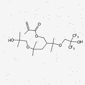 C=C(C)C(=O)OCC(CC(C)(C)OCC(C)(C)O)C(C)(C)OCC(O)(C(F)(F)F)C(F)(F)F